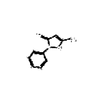 Nc1cc(=O)n(-c2ccccc2)[nH]1